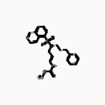 CC(C)(C)OC(=O)NC=CCN(CCCc1ccccc1)S(=O)(=O)c1cccc2cnccc12